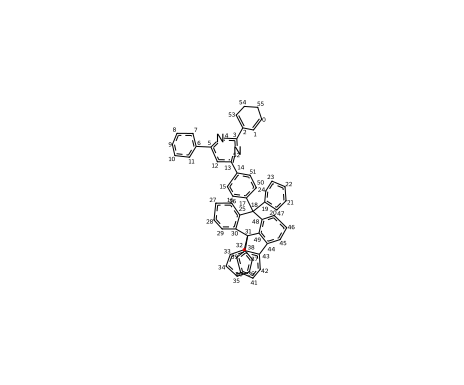 C1=CC(c2nc(-c3ccccc3)cc(-c3ccc(C4(c5ccccc5)c5ccccc5C5(c6ccccc6)c6ccccc6-c6cccc4c65)cc3)n2)=CCC1